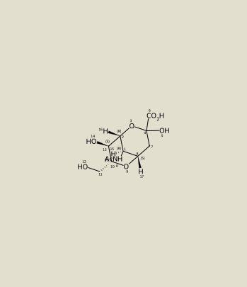 CC(=O)N[C@H]1[C@H]2OC(O)(C(=O)O)C[C@@H]1O[C@H](CO)[C@H]2O